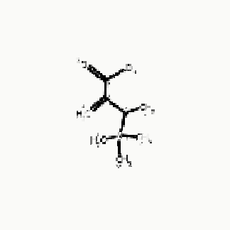 C=C(C(=O)[O-])C(C)[N+](C)(C)C